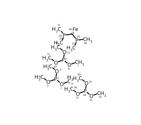 COP(OC)OC.COP(OC)OC.COP(OC)OC.CP(C)CP(C)C.[Fe]